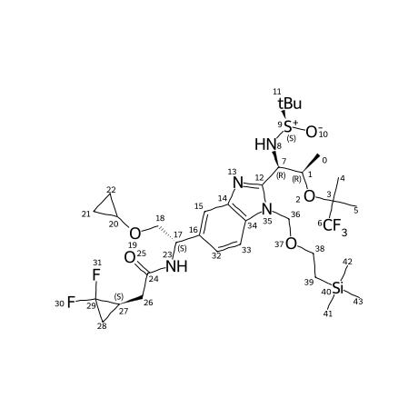 C[C@@H](OC(C)(C)C(F)(F)F)[C@H](N[S@+]([O-])C(C)(C)C)c1nc2cc([C@@H](COC3CC3)NC(=O)C[C@H]3CC3(F)F)ccc2n1COCC[Si](C)(C)C